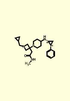 CNC(=O)CC1(N2CCC(N[C@@H]3C[C@H]3c3ccccc3)CC2)CN(CC2CC2)C1